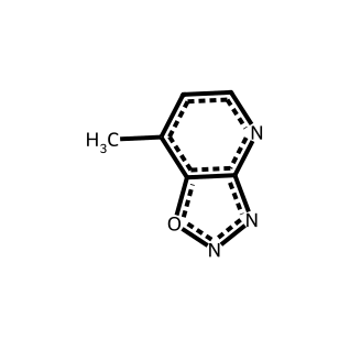 Cc1ccnc2nnoc12